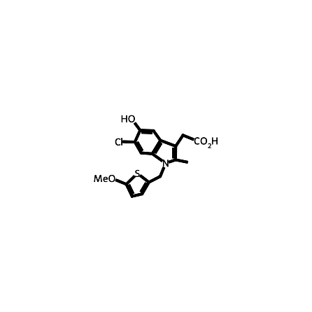 COc1ccc(Cn2c(C)c(CC(=O)O)c3cc(O)c(Cl)cc32)s1